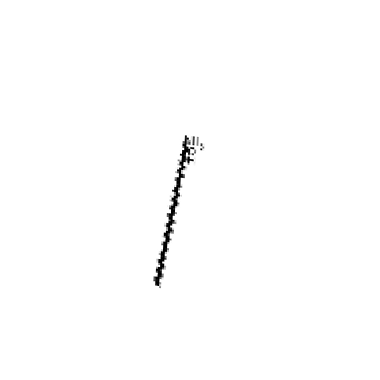 CCCCCCCCCCCCCCCCCCCCCCCCCCCCC=CC(O)CN